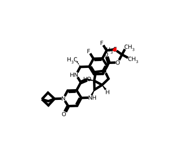 C[C@@H](NC(=O)c1cn(C23CC(C2)C3)c(=O)cc1N[C@H]1[C@@H]2CN(C(=O)OC(C)(C)C)C[C@@H]21)c1cccc(C(F)F)c1F